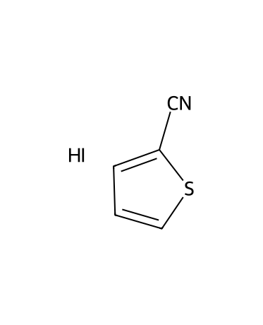 I.N#Cc1cccs1